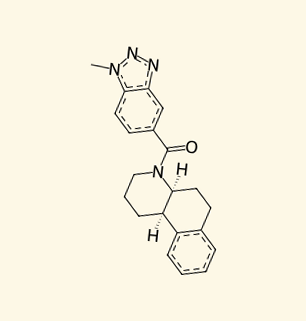 Cn1nnc2cc(C(=O)N3CCC[C@@H]4c5ccccc5CC[C@@H]43)ccc21